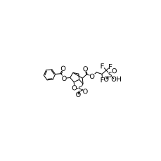 O=C(OC1C2CC3C1OS(=O)(=O)C3C2C(=O)OCC(F)C(F)(F)S(=O)(=O)O)c1ccccc1